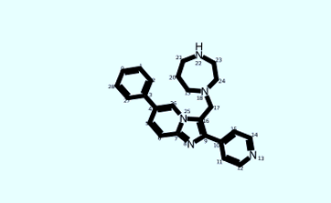 c1ccc(-c2ccc3nc(-c4ccncc4)c(CN4CCCNCC4)n3c2)cc1